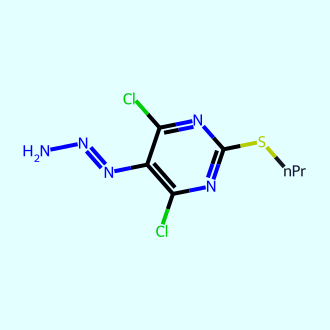 CCCSc1nc(Cl)c(N=NN)c(Cl)n1